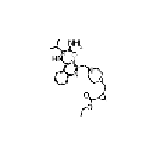 CCOC(=O)C1CC1CN1CCN(Cc2nc(N[C@H](C(N)=O)C(C)C)c3ccccc3n2)CC1